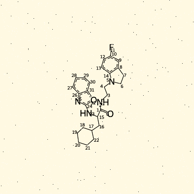 O=C(NCCN1CCc2cc(F)ccc21)C(CC1CCCCC1)Nc1nc2ccccc2o1